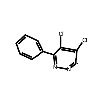 Clc1[c]nnc(-c2ccccc2)c1Cl